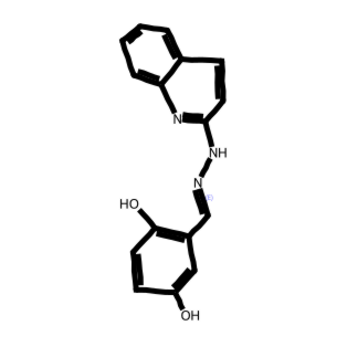 Oc1ccc(O)c(/C=N/Nc2ccc3ccccc3n2)c1